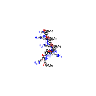 COC(=O)CCCC(=O)N[C@@H](CCCCCN)C(=O)Nc1ccc(OC)c(C(=O)NC(CCCCN)C(=O)Nc2ccc(OC)c(C(=O)NC(CCCCN)C(=O)Nc3ccc(OC)c(C(=O)N[C@@H](CCCCN)C(=O)Nc4ccc(OC)c(C(N)=O)c4)c3)c2)c1